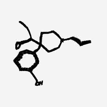 C=CCN1CCC(C(=O)CC)(c2cccc(O)c2)CC1